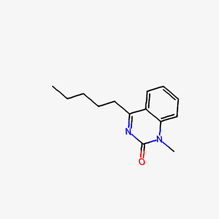 CCCCCc1nc(=O)n(C)c2ccccc12